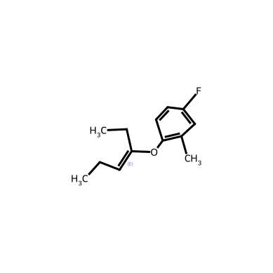 CC/C=C(\CC)Oc1ccc(F)cc1C